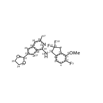 COc1c(F)ccc2c1CC(F)(F)[C@H]2Nc1nc(C)cc2cc(C3OCCO3)sc12